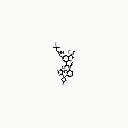 CC1CC(c2cccc(-n3cnc4c(C(F)(F)F)cc(CNCC(C)(C)F)cc4c3=O)c2)(c2nncn2C)C1